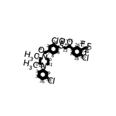 CC1[C@H](C)N(C(=O)c2ccc([S+]([O-])CC(=O)c3ccc(Cl)c(C(F)(F)F)c3)c(Cl)c2)CCN1c1cccc(Cl)c1